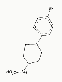 O=C(O)NC1CCN(c2ccc(Br)cc2)CC1